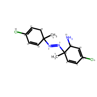 CC1(/N=N/C2(C)C=CC(Cl)=CC2N)C=CC(Cl)=CC1